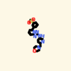 CS(=O)(=O)c1cccc(-c2cccc3nc(Nc4ccc(CN5CCOCC5)nc4)nn23)c1